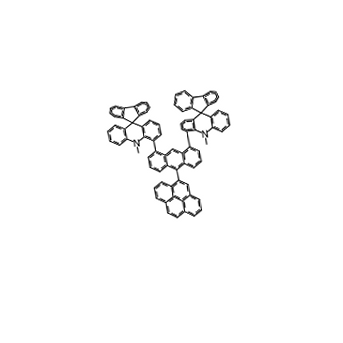 CN1c2ccccc2C2(c3ccccc3-c3ccccc32)c2cccc(-c3cccc4c(-c5cc6cccc7ccc8cccc5c8c76)c5cccc(-c6cccc7c6N(C)c6ccccc6C76c7ccccc7-c7ccccc76)c5cc34)c21